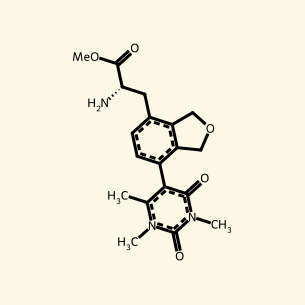 COC(=O)[C@@H](N)Cc1ccc(-c2c(C)n(C)c(=O)n(C)c2=O)c2c1COC2